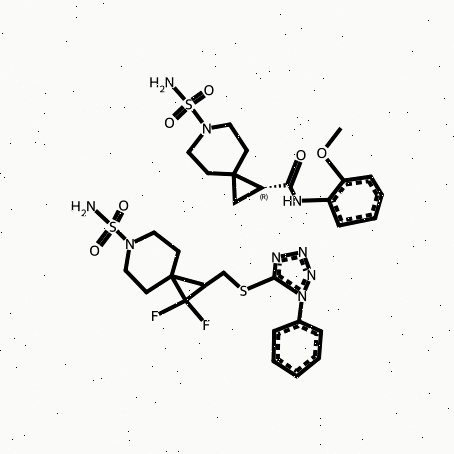 COc1ccccc1NC(=O)[C@@H]1CC12CCN(S(N)(=O)=O)CC2.NS(=O)(=O)N1CCC2(CC1)C(CSc1nnnn1-c1ccccc1)C2(F)F